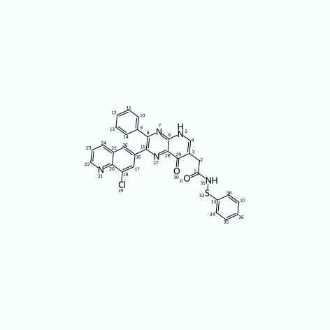 O=C(Cc1c[nH]c2nc(-c3ccccc3)c(-c3cc(Cl)c4ncccc4c3)nc2c1=O)NSc1ccccc1